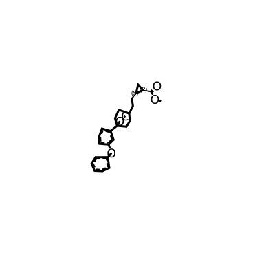 COC(=O)[C@@H]1C[C@@H]1CCC12CCC(c3cccc(Oc4ccccc4)c3)(CC1)OC2